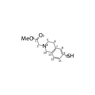 COC(=O)CN1CCc2cc(S)ccc2C1